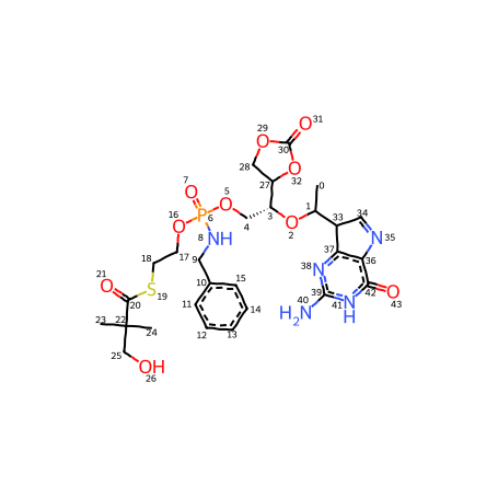 CC(O[C@H](COP(=O)(NCc1ccccc1)OCCSC(=O)C(C)(C)CO)C1COC(=O)O1)C1C=Nc2c1nc(N)[nH]c2=O